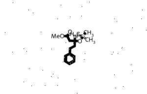 CCCC(CCc1ccccc1)(CC(=O)OC)O[Si](C)(C)C